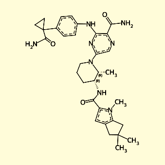 C[C@@H]1[C@H](NC(=O)c2cc3c(n2C)CC(C)(C)C3)CCCN1c1cnc(C(N)=O)c(Nc2ccc(C3(C(N)=O)CC3)cc2)n1